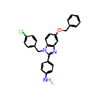 Nc1ccc(-c2nc3cc(OCc4ccccc4)ccc3n2Cc2ccc(Cl)cc2)cc1